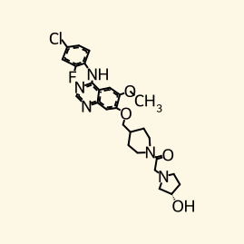 COc1cc2c(Nc3ccc(Cl)cc3F)ncnc2cc1OCC1CCN(C(=O)CN2CC[C@H](O)C2)CC1